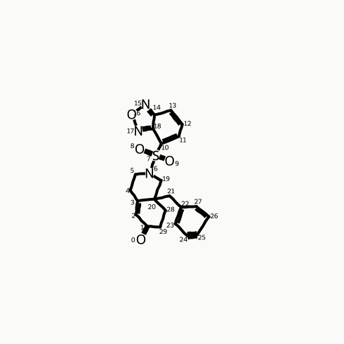 O=C1C=C2CCN(S(=O)(=O)c3cccc4nonc34)CC2(Cc2cc#ccc2)CC1